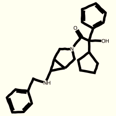 O=C(N1CC2C(C1)C2NCc1ccccc1)C(O)(c1ccccc1)C1CCCC1